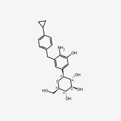 Nc1c(O)cc([C@@H]2O[C@H](CO)[C@@H](O)[C@H](O)[C@H]2O)cc1Cc1ccc(C2CC2)cc1